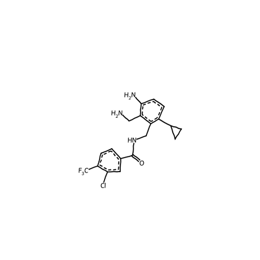 NCc1c(N)ccc(C2CC2)c1CNC(=O)c1ccc(C(F)(F)F)c(Cl)c1